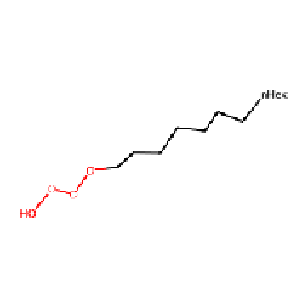 CCCCCCCCCCCCCOOOO